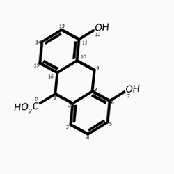 O=C(O)C1c2cccc(O)c2Cc2c(O)cccc21